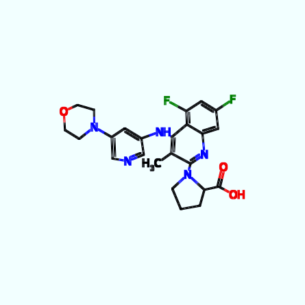 Cc1c(N2CCCC2C(=O)O)nc2cc(F)cc(F)c2c1Nc1cncc(N2CCOCC2)c1